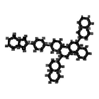 c1ccc2cc(-c3cc4c5ccc(-c6ccc(-c7nc8ncccc8o7)cc6)cc5c(-c5ccc6ccccc6c5)cc4c4ccccc34)ccc2c1